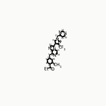 CCC(=O)c1ccc(Cc2nccn3c(-c4cn(Cc5ccncn5)nc4C(F)(F)F)cnc23)cc1C